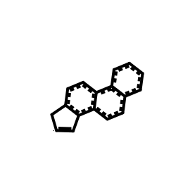 [C]1=Cc2c(ccc3c2ccc2ccccc23)C1